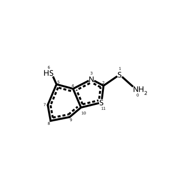 NSc1nc2c(S)cccc2s1